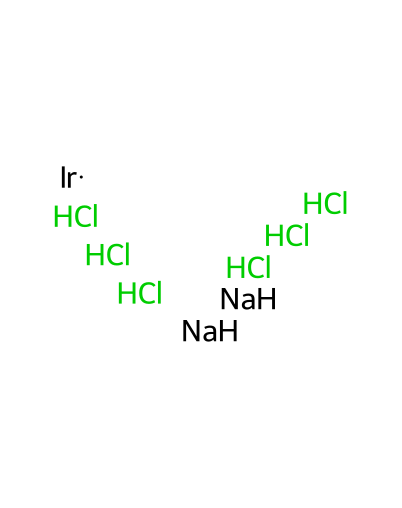 Cl.Cl.Cl.Cl.Cl.Cl.[Ir].[NaH].[NaH]